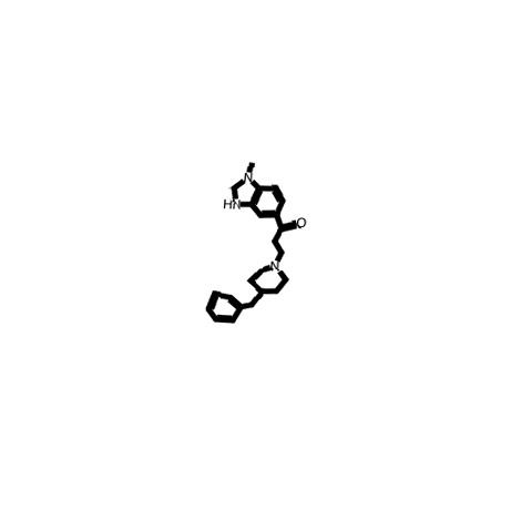 CN1[CH]Nc2cc(C(=O)CCN3CCC(Cc4ccccc4)CC3)ccc21